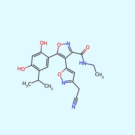 CCNC(=O)c1noc(-c2cc(C(C)C)c(O)cc2O)c1-c1cc(CC#N)no1